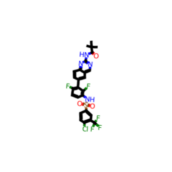 CC(C)(C)C(=O)Nc1ncc2cc(-c3c(F)ccc(NS(=O)(=O)c4ccc(Cl)c(C(F)(F)F)c4)c3F)ccc2n1